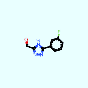 O=Cc1nnc(-c2cccc(F)c2)[nH]1